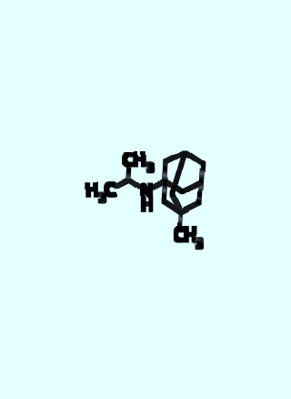 CC(C)NC12CC3CC(CC(C)(C3)C1)C2